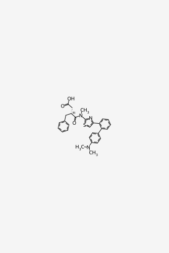 CN(C)c1ccc(-c2ccccc2-c2csc(N(C)C(=O)[C@@H](CC(=O)O)Cc3ccccc3)n2)cc1